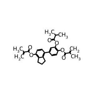 C=C(C)C(=O)Oc1ccc(-c2ccc(OC(=O)C(=C)C)c3c2CCC3)cc1OC(=O)C(C)C